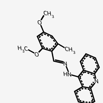 COc1cc(C)c(/C=N/Nc2c3ccccc3nc3ccccc23)c(OC)c1